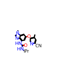 Cc1cc(C#N)ncc1Oc1cc(NC(=O)NC(C)C)c2ncn(C)c2c1